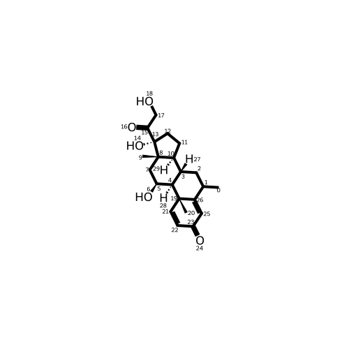 CC1C[C@@H]2[C@H]([C@@H](O)C[C@@]3(C)[C@H]2CC[C@]3(O)C(=O)CO)[C@@]2(C)C=CC(=O)C=C12